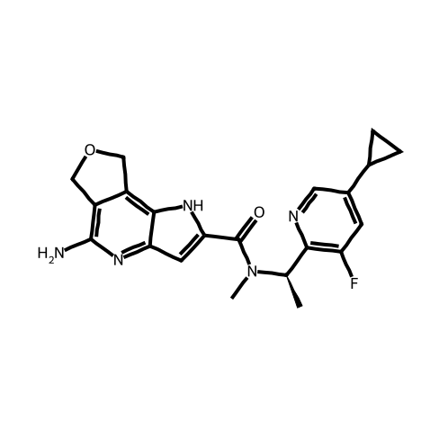 C[C@H](c1ncc(C2CC2)cc1F)N(C)C(=O)c1cc2nc(N)c3c(c2[nH]1)COC3